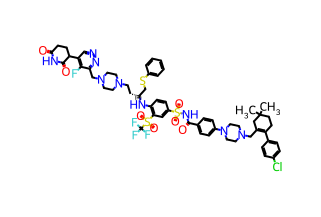 CC1(C)CCC(c2ccc(Cl)cc2)=C(CN2CCN(c3ccc(C(=O)NS(=O)(=O)c4ccc(N[C@H](CCN5CCN(Cc6nncc(C7CCC(=O)NC7=O)c6F)CC5)CSc5ccccc5)c(S(=O)(=O)C(F)(F)F)c4)cc3)CC2)C1